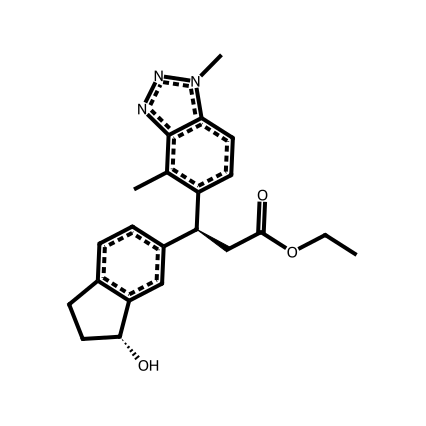 CCOC(=O)C[C@@H](c1ccc2c(c1)[C@H](O)CC2)c1ccc2c(nnn2C)c1C